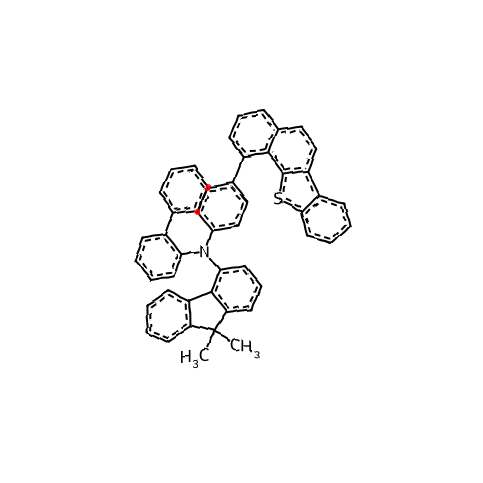 CC1(C)c2ccccc2-c2c(N(c3ccc(-c4cccc5ccc6c7ccccc7sc6c45)cc3)c3ccccc3-c3ccccc3)cccc21